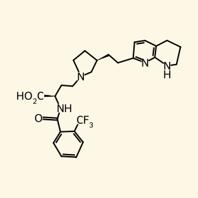 O=C(N[C@H](CCN1CC[C@@H](CCc2ccc3c(n2)NCCC3)C1)C(=O)O)c1ccccc1C(F)(F)F